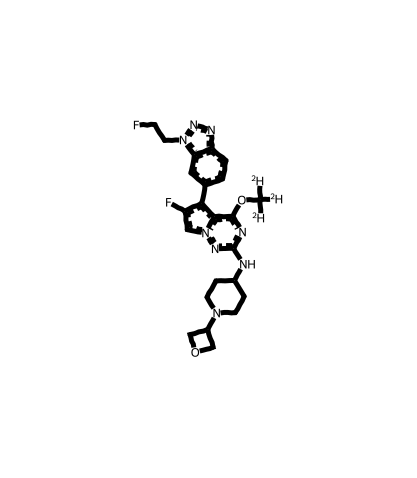 [2H]C([2H])([2H])Oc1nc(NC2CCN(C3COC3)CC2)nn2cc(F)c(-c3ccc4nnn(CCF)c4c3)c12